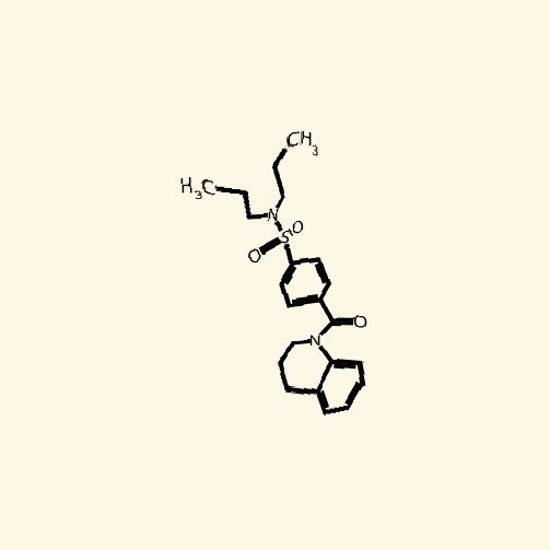 CCCN(CCC)S(=O)(=O)c1ccc(C(=O)N2CCCc3ccccc32)cc1